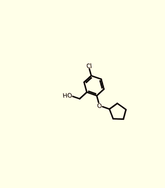 OCc1cc(Cl)ccc1OC1CCCC1